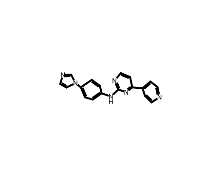 c1cc(-c2ccnc(Nc3ccc(-n4ccnc4)cc3)n2)ccn1